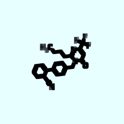 CCCCc1nc(C(F)(F)F)cc(=O)n1Cc1ccc(-c2ccccc2C#N)cc1